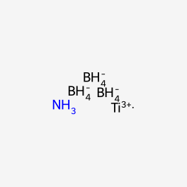 N.[BH4-].[BH4-].[BH4-].[Ti+3]